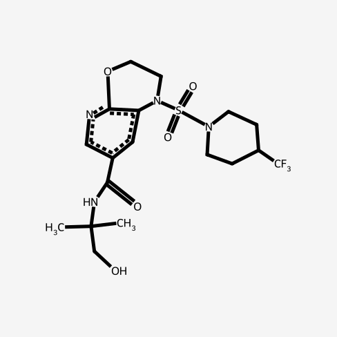 CC(C)(CO)NC(=O)c1cnc2c(c1)N(S(=O)(=O)N1CCC(C(F)(F)F)CC1)CCO2